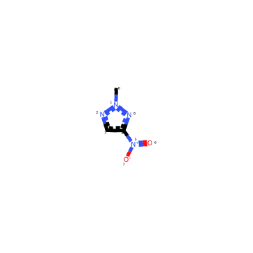 Cn1ncc([N+](=O)[O-])n1